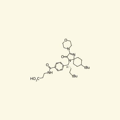 CC(C)(C)CC[C@H](c1ccc(C(=O)NCCC(=O)O)cc1)N1C(=O)C(N2CCOCC2)=NC12CCC(C(C)(C)C)CC2